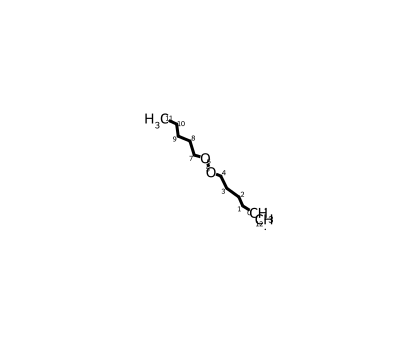 CCCCCOOCCCCC.[CH]